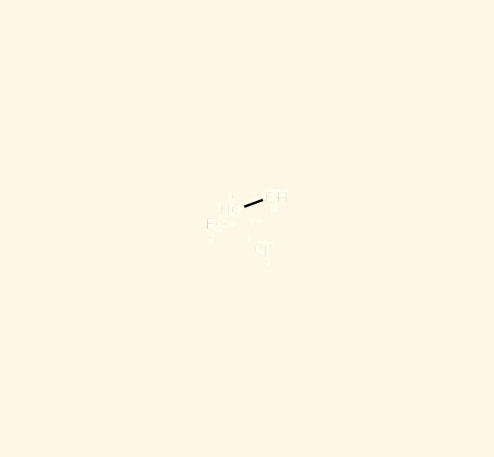 OO.[Cl-].[Cl-].[Fe+2]